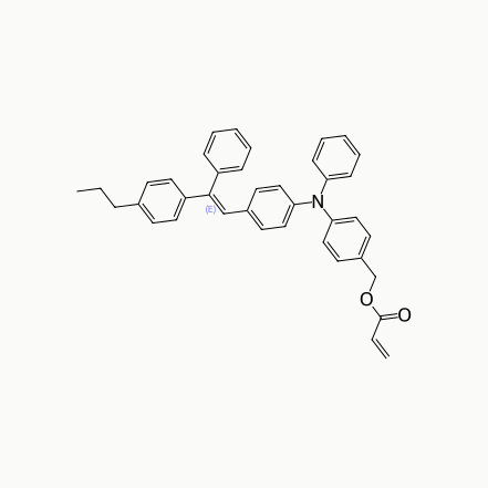 C=CC(=O)OCc1ccc(N(c2ccccc2)c2ccc(/C=C(\c3ccccc3)c3ccc(CCC)cc3)cc2)cc1